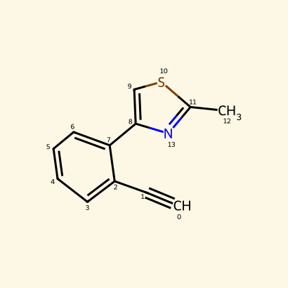 C#Cc1ccccc1-c1csc(C)n1